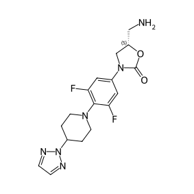 NC[C@H]1CN(c2cc(F)c(N3CCC(n4nccn4)CC3)c(F)c2)C(=O)O1